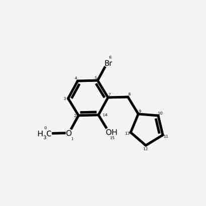 COc1ccc(Br)c(CC2C=CCC2)c1O